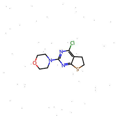 Clc1nc(N2CCOCC2)nc2c1CCS2